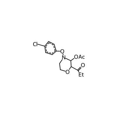 CCC(=O)C1OCCN(Oc2ccc(Cl)cc2)C1OC(C)=O